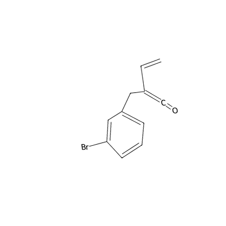 C=CC(=C=O)Cc1cccc(Br)c1